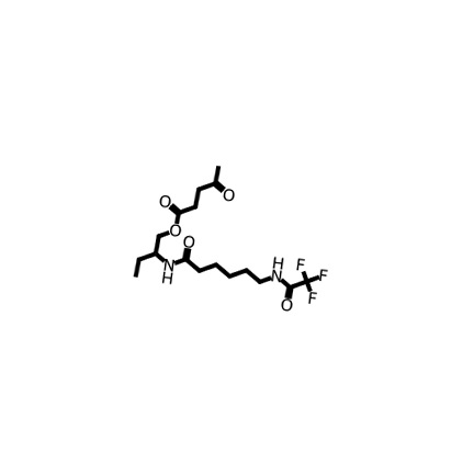 CCC(COC(=O)CCC(C)=O)NC(=O)CCCCCNC(=O)C(F)(F)F